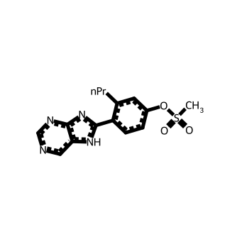 CCCc1cc(OS(C)(=O)=O)ccc1-c1nc2ncncc2[nH]1